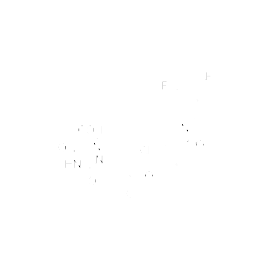 O=C(O)c1nn(-c2cc(Cl)c(Oc3ccc4c(c3)CCN(Cc3cc(F)cc(F)c3)C4=O)c(Cl)c2)c(=O)[nH]c1=O